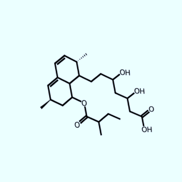 CCC(C)C(=O)OC1C[C@@H](C)C=C2C=C[C@H](C)C(CCC(O)CC(O)CC(=O)O)C21